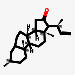 C=C[C@@H](C)C1C(=O)C[C@H]2[C@@H]3CCC4C[C@@H](C)CC[C@]4(C)[C@H]3CC[C@]12C